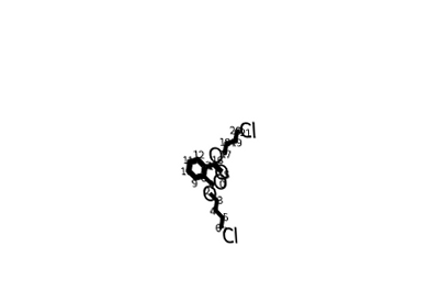 O=C(OCCCCCl)c1ccccc1C(=O)OCCCCCl